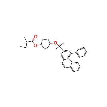 CCC(C)C(=O)OC1CCC(OC(C)(C)c2cc(-c3ccccc3)c3c(ccc4ccccc43)c2)CC1